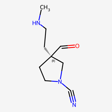 CNCC[C@@]1(C=O)CCN(C#N)C1